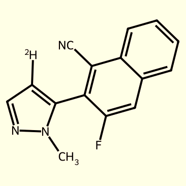 [2H]c1cnn(C)c1-c1c(F)cc2ccccc2c1C#N